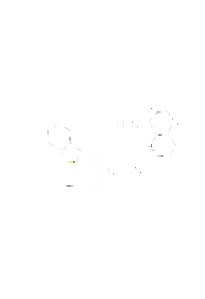 C=CC(c1cc2ccc(Cl)cc2s1)S(=O)(=O)N1CCN(Cc2ccc3ncnc(N)c3c2)C(C=O)C1